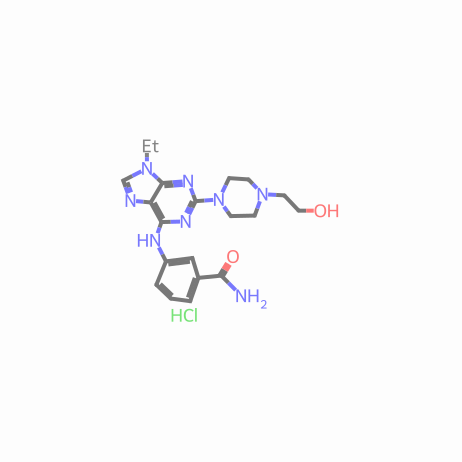 CCn1cnc2c(Nc3cccc(C(N)=O)c3)nc(N3CCN(CCO)CC3)nc21.Cl